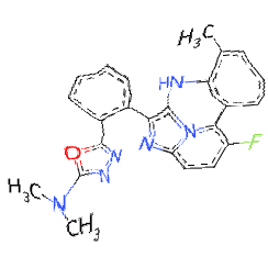 Cc1cccc2c1Nc1c(-c3ccccc3-c3nnc(N(C)C)o3)nc3ccc(F)c-2n13